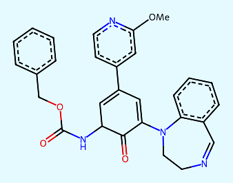 COc1cc(C2=CC(NC(=O)OCc3ccccc3)C(=O)C(N3CCN=Cc4ccccc43)=C2)ccn1